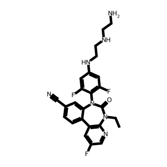 CCN1C(=O)N(c2c(F)cc(NCCNCCN)cc2F)c2cc(C#N)ccc2-c2cc(F)cnc21